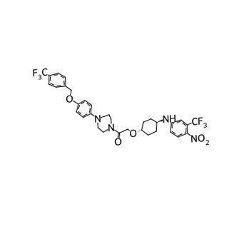 O=C(CO[C@H]1CC[C@H](Nc2ccc([N+](=O)[O-])c(C(F)(F)F)c2)CC1)N1CCN(c2ccc(OCc3ccc(C(F)(F)F)cc3)cc2)CC1